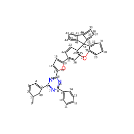 CC1C=CC=C(c2nc(-c3ccccc3)nc(-c3ccc(-c4ccc5c(c4)Oc4ccccc4C54c5ccccc5-c5ccccc54)o3)n2)C1